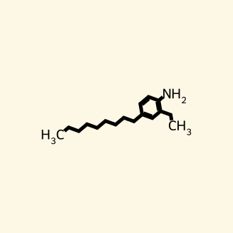 CCCCCCCCCc1ccc(N)c(CC)c1